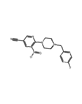 N#Cc1cnc(N2CCN(Cc3ccc(F)cc3)CC2)c([N+](=O)[O-])c1